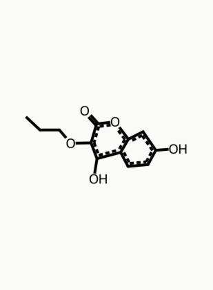 CCCOc1c(O)c2ccc(O)cc2oc1=O